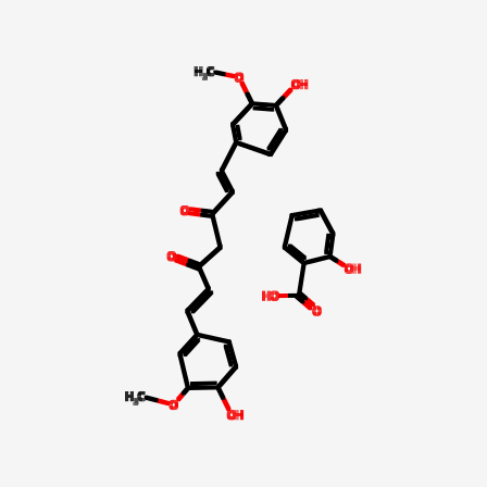 COc1cc(C=CC(=O)CC(=O)C=Cc2ccc(O)c(OC)c2)ccc1O.O=C(O)c1ccccc1O